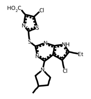 CCc1[nH]c2nc(Sc3nc(C(=O)O)c(Cl)s3)nc(N3CCC(C)C3)c2c1Cl